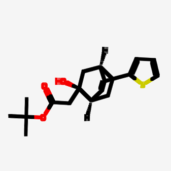 CC(C)(C)OC(=O)C[C@]1(O)C[C@H]2CC[C@@H]1C=C2c1cccs1